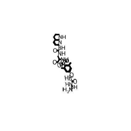 Cc1cc(OBC(=O)NBN)cc(C)c1S(=O)(=O)NC(CNC(=O)Bc1ccc2c(n1)NCCC2)C(=O)O